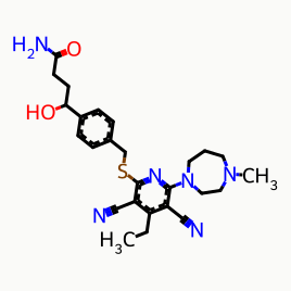 CCc1c(C#N)c(SCc2ccc(C(O)CCC(N)=O)cc2)nc(N2CCCN(C)CC2)c1C#N